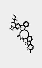 C=C1CC2C(CCc3ccc4c(oc5nc(C)ccc54)c3/C(C)=N\1)c1ccccc1-c1cc(C(C)C(C)(C)CC)c([Si](C)(C)C)c[n+]12